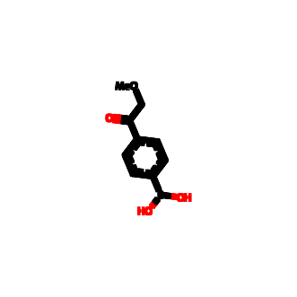 COCC(=O)c1ccc(B(O)O)cc1